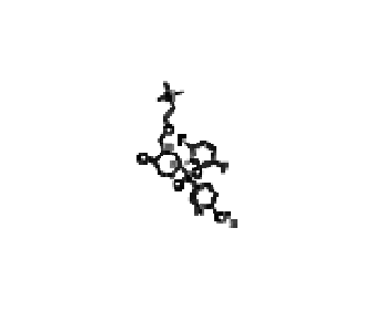 C[Si](C)(C)CCOC[C@H]1C[C@@](c2cc(F)ccc2F)(S(=O)(=O)c2ccc(C(F)(F)F)nc2)CCC1=O